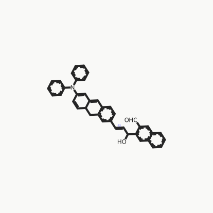 O=Cc1cc2ccccc2cc1C(O)/C=C/c1ccc2c(c1)CC1C=CC(N(c3ccccc3)c3ccccc3)=CC1=C2